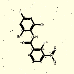 O=C(Nc1c(Cl)cc(F)cc1Br)c1cccc([N+](=O)[O-])c1F